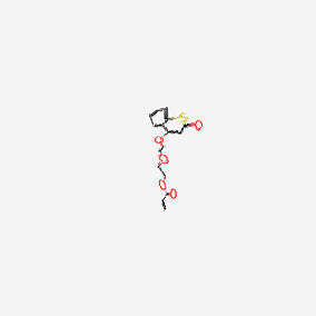 C=CC(=O)OCCOCCOc1cc(=O)sc2ccccc12